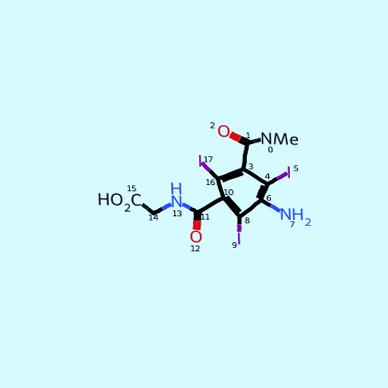 CNC(=O)c1c(I)c(N)c(I)c(C(=O)NCC(=O)O)c1I